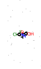 CC(C)c1nc2cc(O)ccc2c(=O)n1-c1ccc(Cl)cc1F